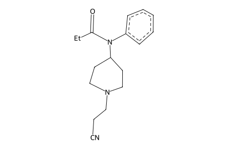 CCC(=O)N(c1ccccc1)C1CCN(CCC#N)CC1